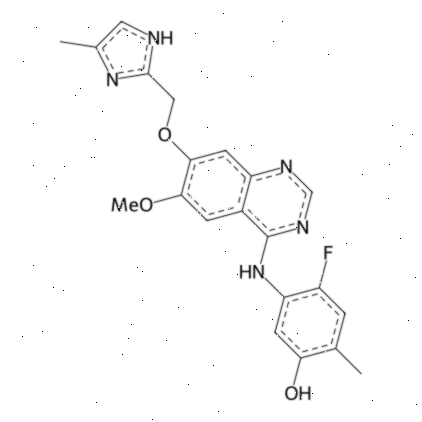 COc1cc2c(Nc3cc(O)c(C)cc3F)ncnc2cc1OCc1nc(C)c[nH]1